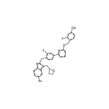 CC(=O)c1ccc2nc(Cc3ccc(-c4cccc(OCc5ccc(C#N)cc5F)n4)cc3F)n(CC3CCO3)c2c1